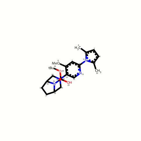 COc1cc(-n2c(C)ccc2C)ncc1N1CC2CCC(C1)N2C(O)OC(C)(C)C